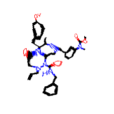 C=CCN1CC(=O)N2C(CN(Cc3cccc(N(C)C(=O)OC)c3)C(=C)[C@@H]2Cc2ccc(O)cc2)N1C(=O)NCc1ccccc1